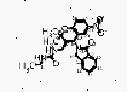 CCNC(=O)NCC1=C(N2Cc3ccccc3C2=O)c2cc([N+](=O)[O-])ccc2OC1(C)C